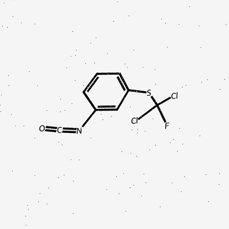 O=C=Nc1cccc(SC(F)(Cl)Cl)c1